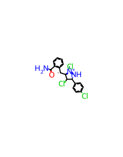 NC(=O)c1ccccc1[CH]C1=[N+](Cl)NC(c2ccc(Cl)cc2)C1Cl